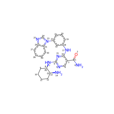 NC(=O)c1cnc(N[C@@H]2CCCC[C@@H]2N)nc1Nc1cccc(-n2cnc3ccccc32)c1